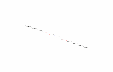 CCCCCCCCOCCNCCOCCCCCCCC